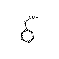 CNSc1[c]cccc1